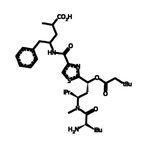 CC[C@H](C)[C@H](N)C(=O)N(C)[C@H](C[C@@H](OC(=O)CC(C)(C)C)c1nc(C(=O)NC(Cc2ccccc2)CC(C)C(=O)O)cs1)C(C)C